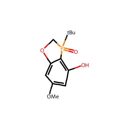 COc1cc(O)c2c(c1)OCP2(=O)C(C)(C)C